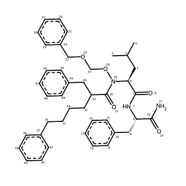 CC(C)C[C@@H](C(=O)N[C@@H](Cc1ccccc1)C(N)=O)N(OCOCc1ccccc1)C(=O)C(CCCCc1ccccc1)Cc1ccccc1